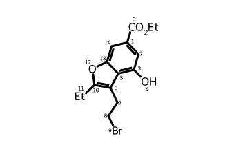 CCOC(=O)c1cc(O)c2c(CCBr)c(CC)oc2c1